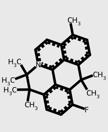 Cc1ccc2c3c4[n+](ccc13)C(C)(C)C(C)(C)c1ccc(F)c(c1-4)C2(C)C